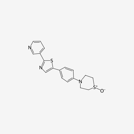 [O-][S+]1CCN(c2ccc(-c3cnc(-c4cccnc4)s3)cc2)CC1